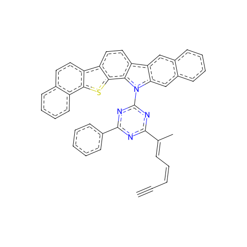 C#C/C=C\C=C(/C)c1nc(-c2ccccc2)nc(-n2c3cc4ccccc4cc3c3ccc4c5ccc6ccccc6c5sc4c32)n1